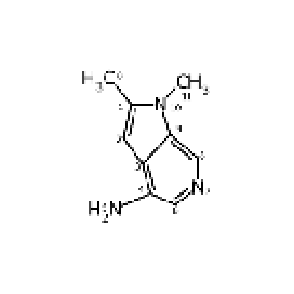 Cc1cc2c(N)cncc2n1C